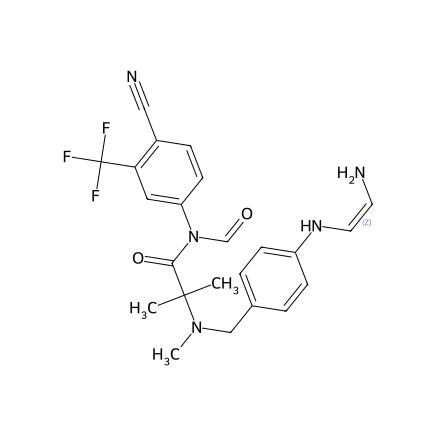 CN(Cc1ccc(N/C=C\N)cc1)C(C)(C)C(=O)N(C=O)c1ccc(C#N)c(C(F)(F)F)c1